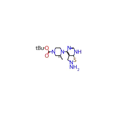 C[C@H]1CN(C(=O)OC(C)(C)C)CCN1C1=C2CN(N)SC2NC=N1